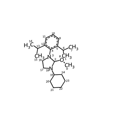 COC1N(c2c(C(C)C)cccc2C(C)C)CCN1C1CCCCC1